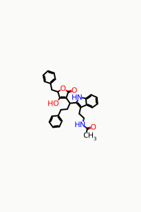 CC(=O)NCCc1c(C(CCc2ccccc2)C2=C(O)C(Cc3ccccc3)OC2=O)[nH]c2ccccc12